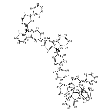 c1ccc(-c2cccc(-n3c4ccccc4c4cc(-c5ccc6c(c5)c5ccccc5n6-c5ccc(-c6ccc(-c7cccc(C8(c9ccccc9-c9ccccc9-c9ccccc9)c9ccccc9-c9ccccc98)c7)cc6)cc5)ccc43)c2)cc1